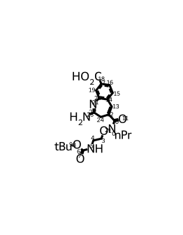 CCCN(OCCNC(=O)OC(C)(C)C)C(=O)C1=Cc2ccc(C(=O)O)cc2N=C(N)C1